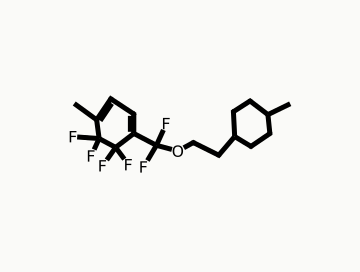 CC1=CC=C(C(F)(F)OCCC2CCC(C)CC2)C(F)(F)C1(F)F